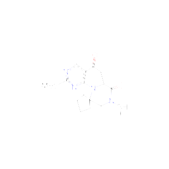 CBN1CC2(CCCC2)N2c3nc(SC)ncc3C(=O)CC2C1=O